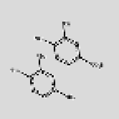 CC(C)(C)c1cc(C(=O)O)ccc1O.CC(C)(C)c1ccc(C(C)(C)C)c(C(C)(C)C)c1